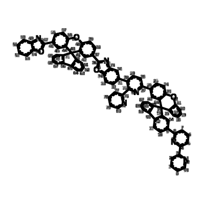 c1ccc(-c2cccc(-c3ccc4c(c3)C3(c5ccccc5Oc5ccc(-c6ccc(-c7ccc8oc(-c9ccc%10c(c9)C9(c%11cc(-c%12nc%13ccccc%13o%12)ccc%11O%10)c%10ccccc%10-c%10ccccc%109)nc8c7)c(-c7ccccn7)n6)cc53)c3ccccc3-4)n2)nc1